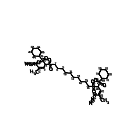 CC(=CC(S(=O)(=O)CCCCCCCCCCS(=O)(=O)C(C=C(C)N=[N+]=[N-])S(=O)(=O)C1CCCCC1)S(=O)(=O)C1CCCCC1)N=[N+]=[N-]